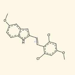 COc1cc(Cl)c(/C=C/c2cc3cc(OC)ccc3[nH]2)c(Cl)c1